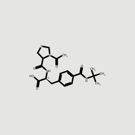 CC(=O)N1CSCC1C(=O)N[C@@H](Cc1ccc(C(=O)NC(C)(C)C)cc1)C(=O)O